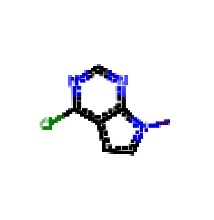 Clc1ncnc2c1ccn2I